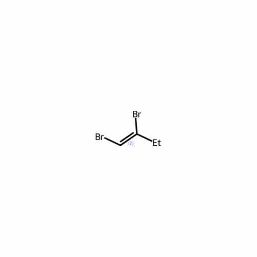 [CH2]C/C(Br)=C/Br